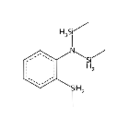 C[SiH2]c1ccccc1N([SiH2]C)[SiH2]C